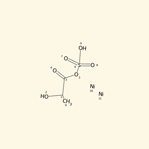 CC(O)C(=O)OS(=O)(=O)O.[Ni].[Ni]